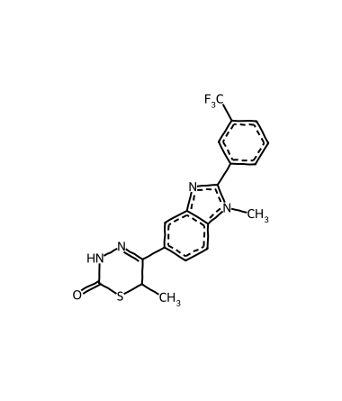 CC1SC(=O)NN=C1c1ccc2c(c1)nc(-c1cccc(C(F)(F)F)c1)n2C